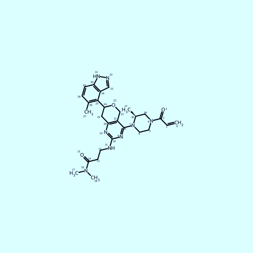 C=CC(=O)N1CCN(c2nc(NCCC(=O)N(C)C)nc3c2COC(c2c(C)ccc4[nH]ncc24)C3)[C@@H](C)C1